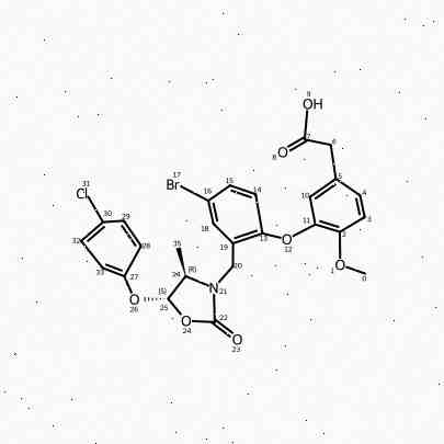 COc1ccc(CC(=O)O)cc1Oc1ccc(Br)cc1CN1C(=O)O[C@H](Oc2ccc(Cl)cc2)[C@H]1C